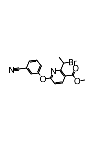 COC(=O)c1ccc(Oc2cccc(C#N)c2)nc1C(C)Br